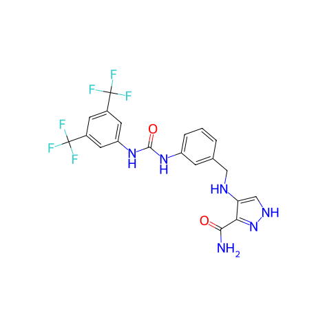 NC(=O)c1n[nH]cc1NCc1cccc(NC(=O)Nc2cc(C(F)(F)F)cc(C(F)(F)F)c2)c1